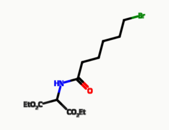 CCOC(=O)C(NC(=O)CCCCCBr)C(=O)OCC